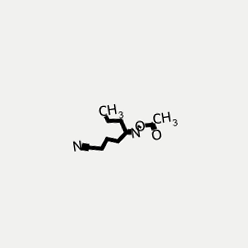 CCC/C(CCCC#N)=N\OC(C)=O